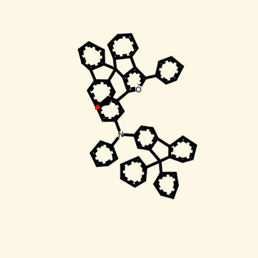 c1ccc(-c2oc(-c3cccc(N(c4ccccc4)c4ccc5c(c4)C(c4ccccc4)(c4ccccc4)c4ccccc4-5)c3)c3c2-c2ccccc2C32c3ccccc3-c3ccccc32)cc1